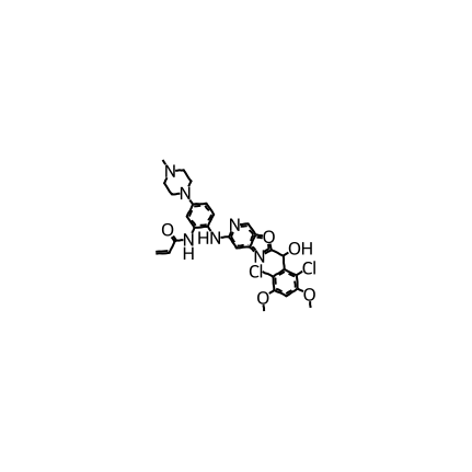 C=CC(=O)Nc1cc(N2CCN(C)CC2)ccc1Nc1cc2nc(C(O)c3c(Cl)c(OC)cc(OC)c3Cl)oc2cn1